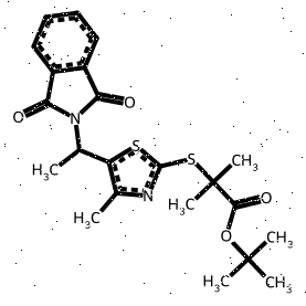 Cc1nc(SC(C)(C)C(=O)OC(C)(C)C)sc1C(C)N1C(=O)c2ccccc2C1=O